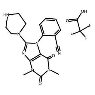 Cn1c(=O)c2c(nc(N3CCNCC3)n2-c2ccccc2C#N)n(C)c1=O.O=C(O)C(F)(F)F